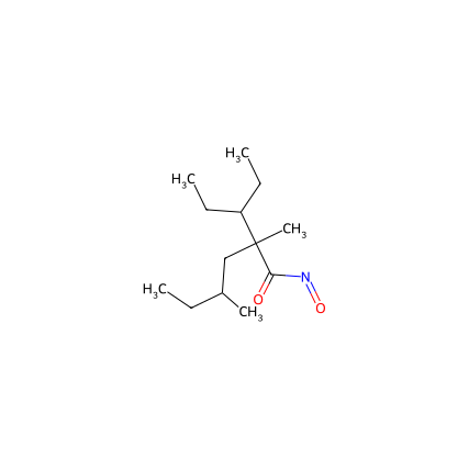 CCC(C)CC(C)(C(=O)N=O)C(CC)CC